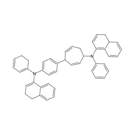 C1=CCCC(N(C2=CCCc3ccccc32)c2ccc(C3C=CCC(N(C4=C5C=CC=CC5CC=C4)c4ccccc4)C=C3)cc2)=C1